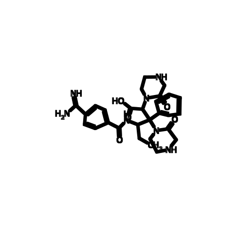 CCC(NC(=O)c1ccc(C(=N)N)cc1)C(c1ccccc1)(C(C(=O)O)N1CCNCC1=O)N1CCNCC1=O